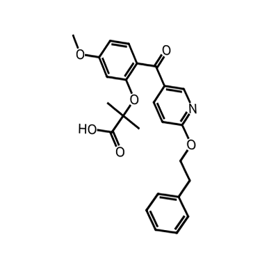 COc1ccc(C(=O)c2ccc(OCCc3ccccc3)nc2)c(OC(C)(C)C(=O)O)c1